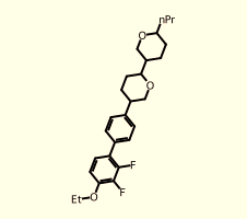 CCCC1CCC(C2CCC(c3ccc(-c4ccc(OCC)c(F)c4F)cc3)CO2)CO1